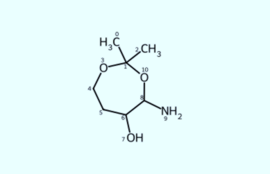 CC1(C)OCCC(O)C(N)O1